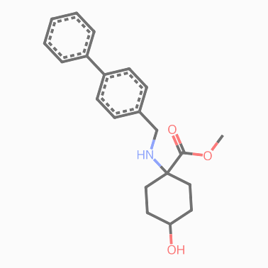 COC(=O)C1(NCc2ccc(-c3ccccc3)cc2)CCC(O)CC1